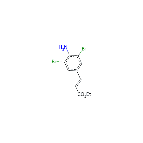 CCOC(=O)C=Cc1cc(Br)c(N)c(Br)c1